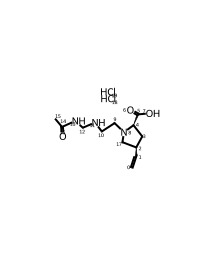 C=C[C@@H]1C[C@H](C(=O)O)N(CCNCNC(C)=O)C1.Cl.Cl